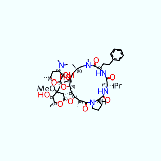 CO[C@]1(C)C[C@H](O[C@H]2[C@H](C)[C@@H](O[C@@H]3O[C@H](C)C[C@H](N(C)C)[C@H]3O)[C@](C)(O)C[C@@H](C)CN(C)C(=O)[C@@H](CCc3ccccc3)NC(=O)[C@H](C(C)C)NC(=O)[C@H]3CCCN3C(=O)[C@@H]2C)O[C@@H](C)[C@@H]1O